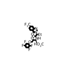 CC[C@@H](C(=O)N[C@@H](CC(=O)O)C(=O)COc1c(F)c(F)cc(F)c1F)n1cnc2cc(C(F)(F)F)ccc2c1=O